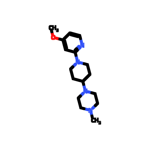 COc1ccnc(N2CCC(N3CCN(C)CC3)CC2)c1